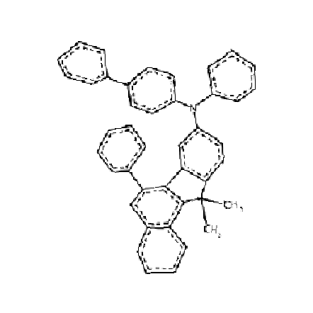 CC1(C)c2ccc(N(c3ccccc3)c3ccc(-c4ccccc4)cc3)cc2-c2c(-c3ccccc3)cc3ccccc3c21